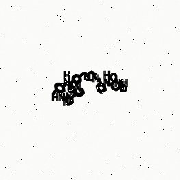 Cc1ccc(NC(=O)c2ccc(CN3CCN(Cc4ccccc4NC4CCC(=O)NC4=O)CC3)cc2)cc1Nc1nccc(-c2cccnc2)n1